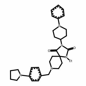 CCN1C(=O)N(C2CCN(c3ccccc3)CC2)C(=O)C12CCN(Cc1ccc(N3CCCC3)cc1)CC2